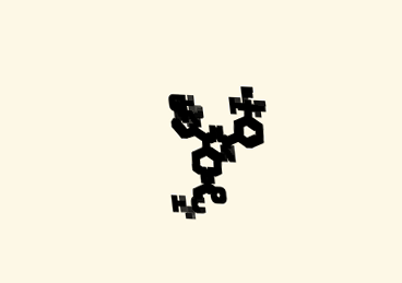 C=CC(=O)N1CCc2c(nc(-c3cccc(C(F)(F)F)c3)nc2-c2ccn(C)n2)C1